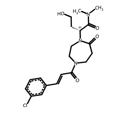 CN(C)C(=O)[C@@H](CCO)N1CCN(C(=O)C=Cc2cccc(Cl)c2)CCC1=O